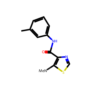 CNc1scnc1C(=O)Nc1cccc(C)c1